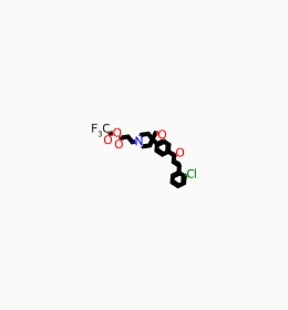 O=C(CCN1CCC2(CC1)COc1cc(C(=O)/C=C/c3ccccc3Cl)ccc12)OC(=O)C(F)(F)F